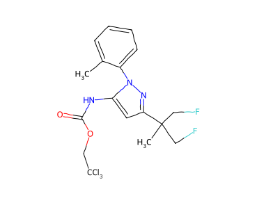 Cc1ccccc1-n1nc(C(C)(CF)CF)cc1NC(=O)OCC(Cl)(Cl)Cl